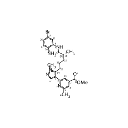 COC(=O)c1cc(C)nc(-c2cnn(C)c2CCC[C@@H](C)CNc2cc(Br)ccc2N)c1